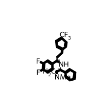 C=C(NC)[C@H](N[C@H](CCc1ccc(C(F)(F)F)cc1)c1ccc(F)c(F)c1)c1ccccc1